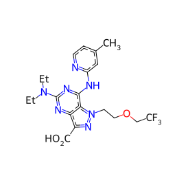 CCN(CC)c1nc(Nc2cc(C)ccn2)c2c(n1)c(C(=O)O)nn2CCOCC(F)(F)F